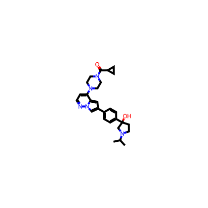 CC(C)N1CCC(O)(c2ccc(-c3cc4c(N5CCN(C(=O)C6CC6)CC5)ccnn4c3)cc2)C1